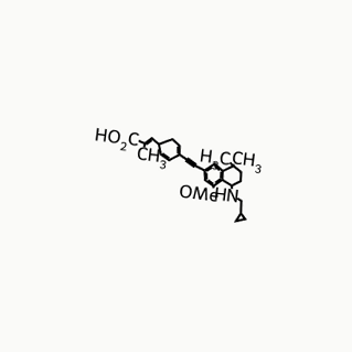 COc1cc(C#CC2=CCC(/C=C(\C)C(=O)O)C=C2)cc2c1C(NCC1CC1)CCC2(C)C